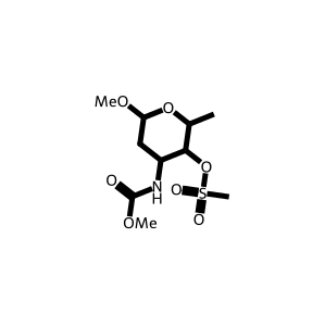 COC(=O)NC1CC(OC)OC(C)C1OS(C)(=O)=O